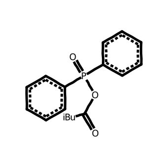 CCC(C)C(=O)OP(=O)(c1ccccc1)c1ccccc1